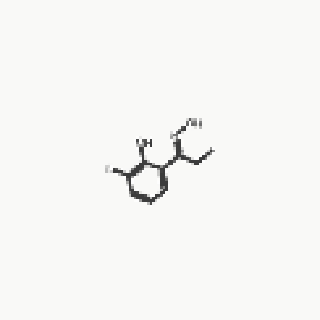 CCC(=NO)c1cccc(F)c1O